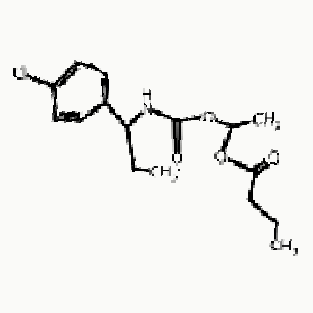 [CH2]CC(NC(=O)OC(C)OC(=O)CCC)c1ccc(Cl)cc1